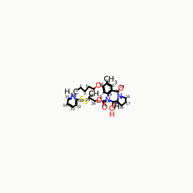 CCCCCOc1cc2c(cc1C)C(=O)N1CCC[C@H]1C(O)N2C(=O)OCC(C)SSc1ccccn1